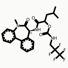 CC(C)CC(OC(=O)NCC(F)(F)C(F)(F)F)C(=O)N[C@@H]1C(=O)N(C)c2ccccc2-c2ccccc21